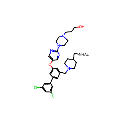 CC(=O)NCC1CCN(Cc2cc(Oc3cnc(N4CCN(CCCO)CC4)nc3)cc(-c3cc(Cl)cc(Cl)c3)c2)CC1